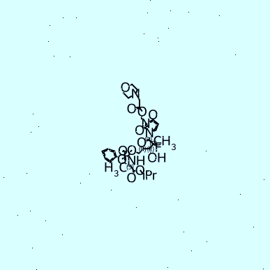 CC(C)OC(=O)[C@H](C)NP(=O)(OC[C@H]1O[C@@H](n2ccc(=O)n(COC(=O)CN3CCOCC3)c2=O)[C@](C)(F)[C@@H]1O)Oc1ccccc1